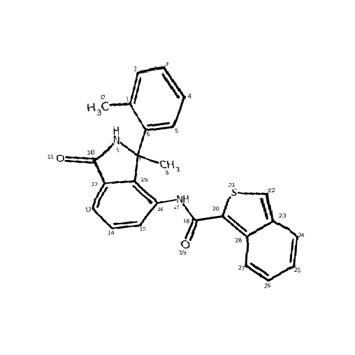 Cc1ccccc1C1(C)NC(=O)c2cccc(NC(=O)c3scc4ccccc34)c21